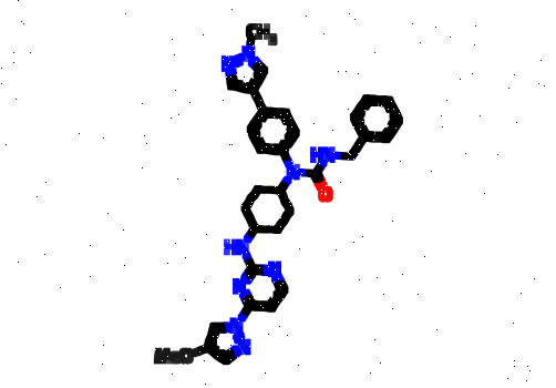 COc1cnn(-c2ccnc(NC3CCC(N(C(=O)NCc4ccccc4)c4ccc(-c5cnn(C)c5)cc4)CC3)n2)c1